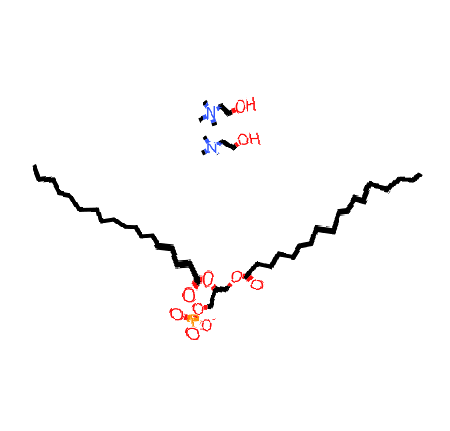 CCCCCCCCCCCCCCCCCC(=O)OCC(COP(=O)([O-])[O-])OC(=O)CCCCCCCCCCCCCCCCC.C[N+](C)(C)CCO.C[N+](C)(C)CCO